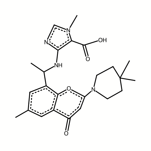 Cc1cc(C(C)Nc2ncn(C)c2C(=O)O)c2oc(N3CCC(C)(C)CC3)cc(=O)c2c1